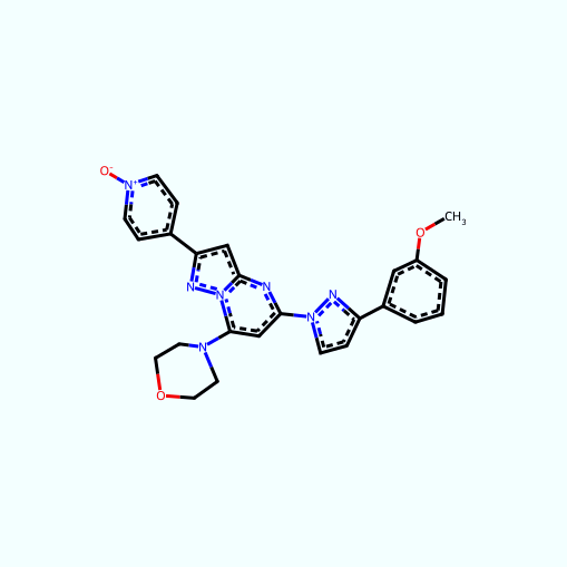 COc1cccc(-c2ccn(-c3cc(N4CCOCC4)n4nc(-c5cc[n+]([O-])cc5)cc4n3)n2)c1